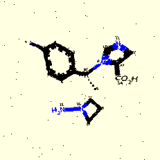 C[C@H](c1ccc(I)cc1)n1cncc1C(=O)O.NN1CCC1